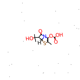 CC1=C(OC(=O)O)N2C(=O)C(C(C)(C)O)[C@@H]2S1